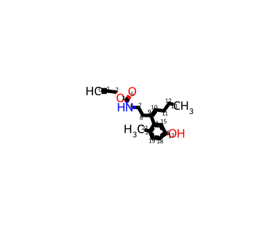 C#CCOC(=O)NCC/C(=C/CCC)c1cc(O)ccc1C